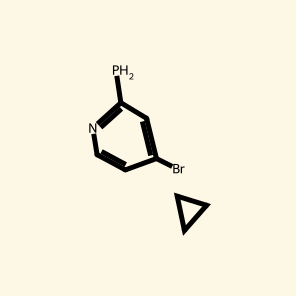 C1CC1.Pc1cc(Br)ccn1